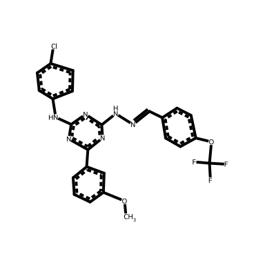 COc1cccc(-c2nc(NN=Cc3ccc(OC(F)(F)F)cc3)nc(Nc3ccc(Cl)cc3)n2)c1